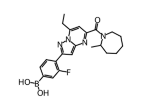 CCc1cc(C(=O)N2CCCCCC2C)nc2cc(-c3ccc(B(O)O)cc3F)nn12